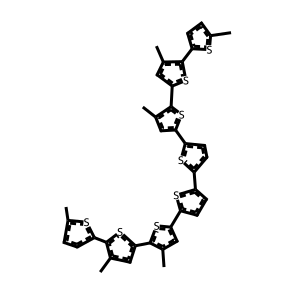 Cc1ccc(-c2sc(-c3sc(-c4ccc(-c5ccc(-c6cc(C)c(-c7cc(C)c(-c8ccc(C)s8)s7)s6)s5)s4)cc3C)cc2C)s1